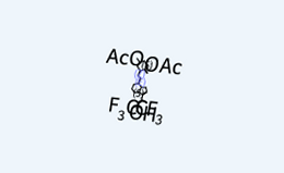 C=C1/C(=C\C=C2/CCC[C@]3(C)C(C(C)CC(O)(C(F)(F)F)C(F)(F)F)=CCC23)CC(OC(C)=O)C[C@@H]1OC(C)=O